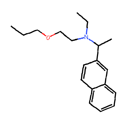 CCCOCCN(CC)C(C)c1ccc2ccccc2c1